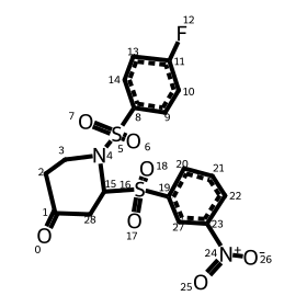 O=C1CCN(S(=O)(=O)c2ccc(F)cc2)C(S(=O)(=O)c2cccc([N+](=O)[O-])c2)C1